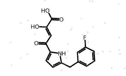 O=C(O)/C(O)=C/C(=O)c1ccc(Cc2cccc(F)c2)[nH]1